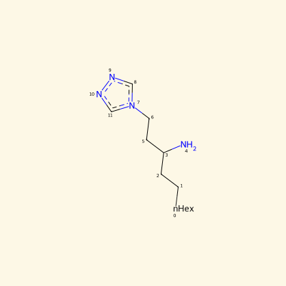 CCCCCCCCC(N)CCn1cnnc1